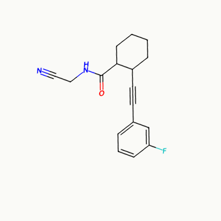 N#CCNC(=O)C1CCCCC1C#Cc1cccc(F)c1